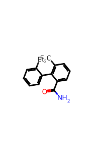 CCc1ccccc1-c1c(C(N)=O)cccc1C(F)(F)F